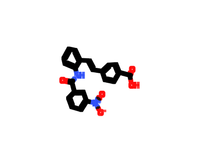 O=C(O)c1ccc(C=Cc2ccccc2NC(=O)c2cccc([N+](=O)[O-])c2)cc1